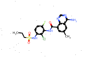 CCCS(=O)(=O)Nc1ccc(F)c(NC(=O)c2cc(C)cc3c(N)ncnc23)c1Cl